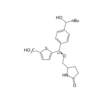 CCCCC(O)c1ccc([C@@H](OCC2CCC(=O)N2)c2ccc(C(=O)O)s2)cc1